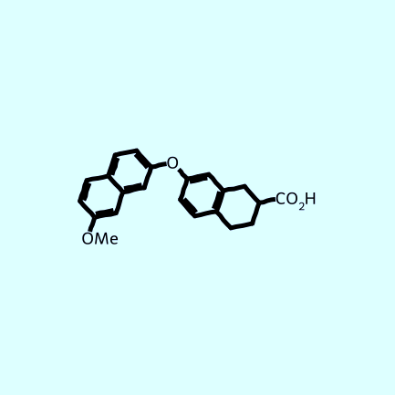 COc1ccc2ccc(Oc3ccc4c(c3)CC(C(=O)O)CC4)cc2c1